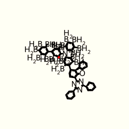 Bc1c(B)c(B)c(-c2c(B)c(B)c(N(c3c(B)c(B)c(B)c(B)c3B)c3c(B)c(B)c(-c4ccc(-c5nc(-c6ccccc6)nc(-c6ccccc6)n5)c5oc6ccccc6c45)c(B)c3B)c(B)c2B)c(B)c1B